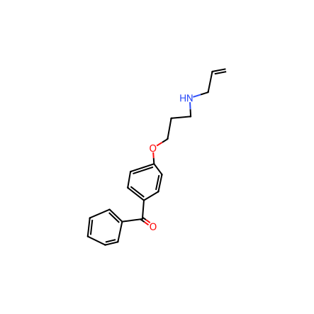 C=CCNCCCOc1ccc(C(=O)c2ccccc2)cc1